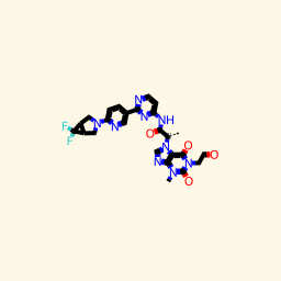 C[C@@H](C(=O)Nc1ccnc(-c2ccc(N3CC4C(C3)C4(F)F)nc2)n1)n1cnc2c1c(=O)n(CC=O)c(=O)n2C